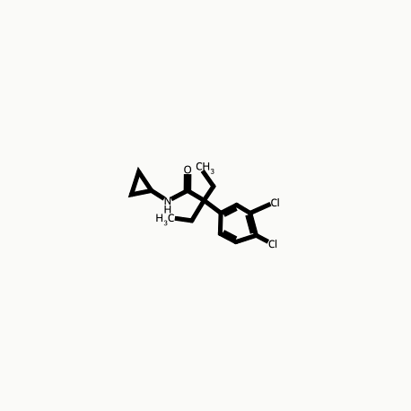 CCC(CC)(C(=O)NC1CC1)c1ccc(Cl)c(Cl)c1